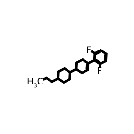 CCCC1CCC(C2CC=C(c3c(F)cccc3F)CC2)CC1